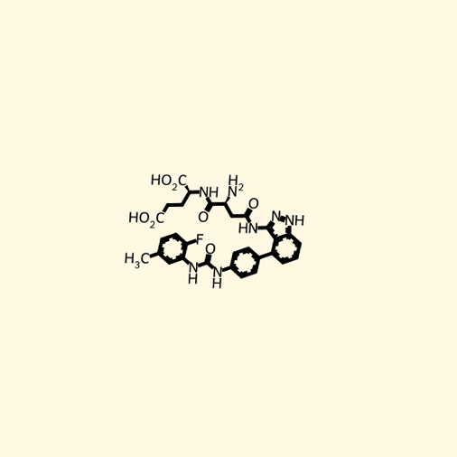 Cc1ccc(F)c(NC(=O)Nc2ccc(-c3cccc4[nH]nc(NC(=O)C[C@H](N)C(=O)N[C@@H](CCC(=O)O)C(=O)O)c34)cc2)c1